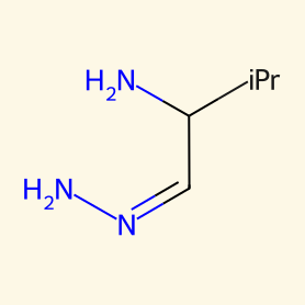 CC(C)C(N)/C=N\N